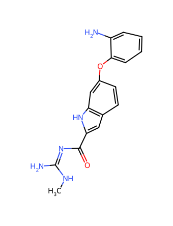 CNC(N)=NC(=O)c1cc2ccc(Oc3ccccc3N)cc2[nH]1